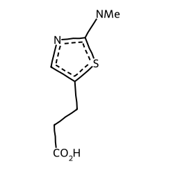 CNc1ncc(CCC(=O)O)s1